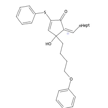 CCCCCCC/C=C1\C(=O)C(Sc2ccccc2)=CC1(O)CCCCOc1ccccc1